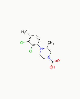 Cc1ccc(N2CCN(C(=O)O)CC2C)c(Cl)c1Cl